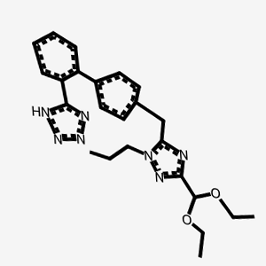 CCCn1nc(C(OCC)OCC)nc1Cc1ccc(-c2ccccc2-c2nnn[nH]2)cc1